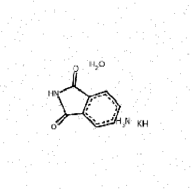 N.O.O=C1NC(=O)c2ccccc21.[KH]